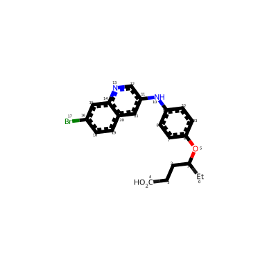 CCC(CCC(=O)O)Oc1ccc(Nc2cnc3cc(Br)ccc3c2)cc1